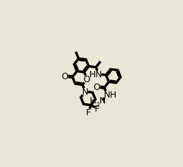 Cc1cc(C(C)Nc2ccccc2C(=O)NN)c2oc(N3CCC(F)(F)CC3)cc(=O)c2c1